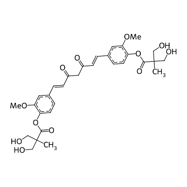 COc1cc(/C=C/C(=O)CC(=O)/C=C/c2ccc(OC(=O)C(C)(CO)CO)c(OC)c2)ccc1OC(=O)C(C)(CO)CO